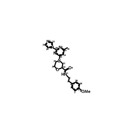 COc1ccc(CCNC(=O)C2CN(c3cc(C)nc(-n4ccnc4)n3)CCO2)cc1